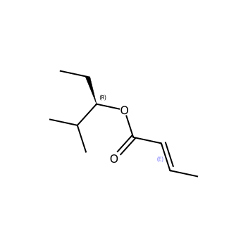 C/C=C/C(=O)O[C@H](CC)C(C)C